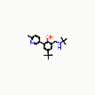 Cc1ccc(-c2cc(C(C)(C)C)cc(CNC(C)(C)C)c2O)cn1